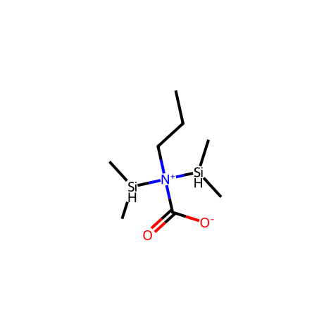 CCC[N+](C(=O)[O-])([SiH](C)C)[SiH](C)C